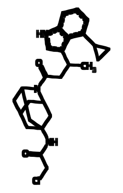 CC(CC(=O)N1C2CC3CC1CC(NC(=O)CCl)(C3)C2)c1c[nH]c2cccc(C3CC3)c12